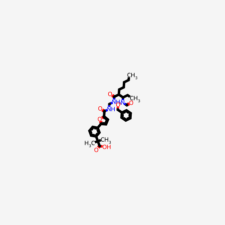 CCCCCC(C(=O)NCNC(=O)c1ccc(-c2cccc(C(C)(C)C(=O)O)c2)o1)C(CC)N(C=O)OCc1ccccc1